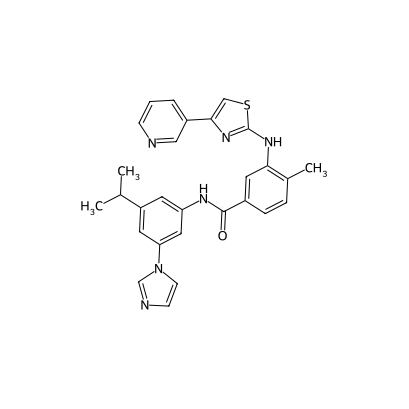 Cc1ccc(C(=O)Nc2cc(C(C)C)cc(-n3ccnc3)c2)cc1Nc1nc(-c2cccnc2)cs1